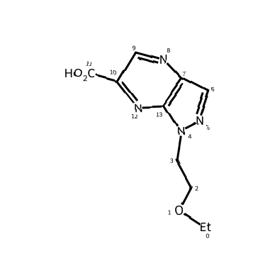 CCOCCn1ncc2ncc(C(=O)O)nc21